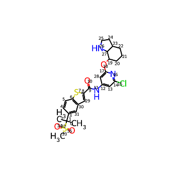 CC(C)(c1ccc2sc(C(=O)Nc3cc(Cl)nc(OC4CCCC5CCNC54)c3)cc2c1)S(C)(=O)=O